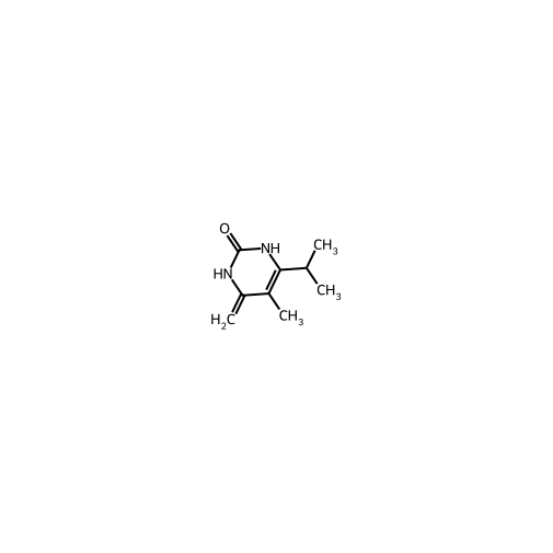 C=C1NC(=O)NC(C(C)C)=C1C